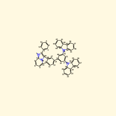 c1ccc(-c2nc3cccc4c5ccc(-c6cc(-n7c8ccccc8c8ccccc87)cc(-n7c8ccccc8c8ccccc87)c6)cc5c2n34)cc1